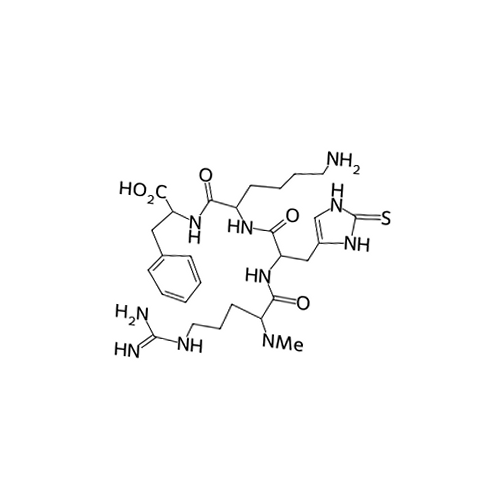 CNC(CCCNC(=N)N)C(=O)NC(Cc1c[nH]c(=S)[nH]1)C(=O)NC(CCCCN)C(=O)NC(Cc1ccccc1)C(=O)O